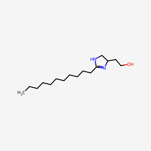 CCCCCCCCCCCC1=NC(CCO)CN1